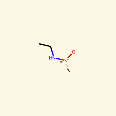 CCN[S@@+](C)[O-]